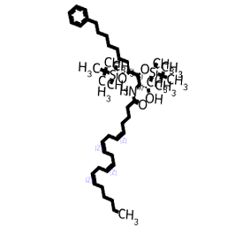 CCCCC/C=C\C/C=C\C/C=C\C/C=C\CCCC(=O)N[C@@H](CO)[C@H](O[Si](C)(C)C(C)(C)C)[C@H](CCCCCCCc1ccccc1)O[Si](C)(C)C(C)(C)C